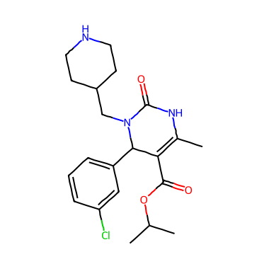 CC1=C(C(=O)OC(C)C)C(c2cccc(Cl)c2)N(CC2CCNCC2)C(=O)N1